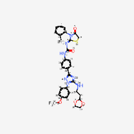 CC(C)c1ccccc1N1C(=O)CS/C1=N\C(=O)Nc1ccc(-c2nc(NCCC3OCCO3)n(-c3ccc(OC(F)(F)F)cc3)n2)cc1